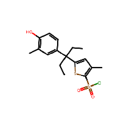 CCC(CC)(c1ccc(O)c(C)c1)c1cc(C)c(S(=O)(=O)Cl)s1